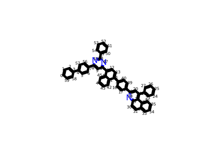 c1ccc(-c2ccc(-c3cc(-c4ccc(-c5ccc(-c6cc(-c7ccccc7)c7c(ccc8ccccc87)n6)cc5)c5ccccc45)nc(-c4ccccc4)n3)cc2)cc1